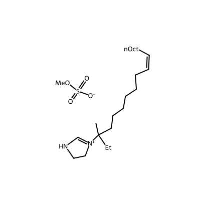 CCCCCCCC/C=C\CCCCCCC(C)(CC)[N+]1=CNCC1.COS(=O)(=O)[O-]